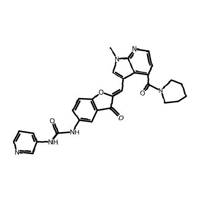 Cn1cc(C=C2Oc3ccc(NC(=O)Nc4cccnc4)cc3C2=O)c2c(C(=O)N3CCCCC3)ccnc21